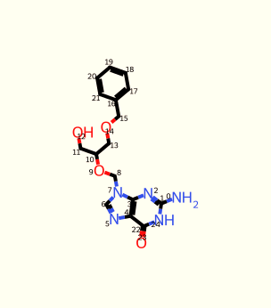 Nc1nc2c(ncn2COC(CO)COCc2ccccc2)c(=O)[nH]1